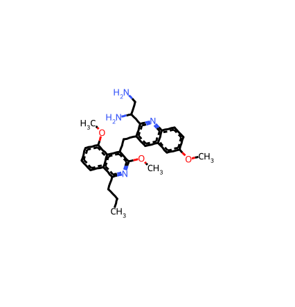 CCCc1nc(OC)c(Cc2cc3cc(OC)ccc3nc2C(N)CN)c2c(OC)cccc12